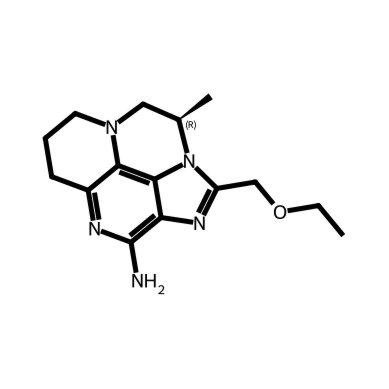 CCOCc1nc2c(N)nc3c4c2n1[C@H](C)CN4CCC3